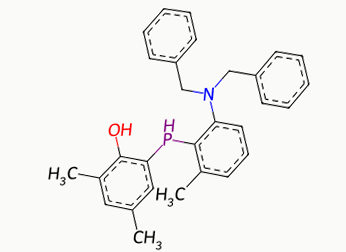 Cc1cc(C)c(O)c(Pc2c(C)cccc2N(Cc2ccccc2)Cc2ccccc2)c1